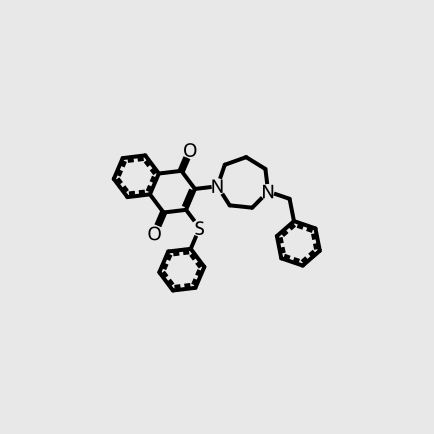 O=C1C(Sc2ccccc2)=C(N2CCCN(Cc3ccccc3)CC2)C(=O)c2ccccc21